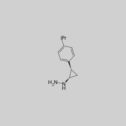 CC(C)c1ccc([C@H]2C[C@H]2NN)cc1